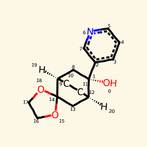 O[C@@]1(c2cccnc2)C[C@H]2CC[C@@H]1CC21OCCO1